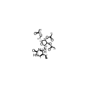 C=Cc1c[nH]c(=O)nc1N[C@@H]1O[C@H](COC(C)=O)[C@H](OC(C)=O)[C@H]1OC(C)=O